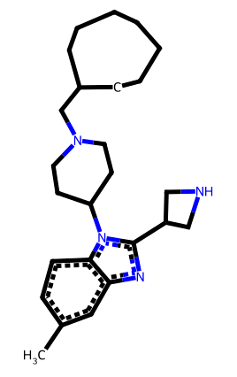 Cc1ccc2c(c1)nc(C1CNC1)n2C1CCN(CC2CCCCCCC2)CC1